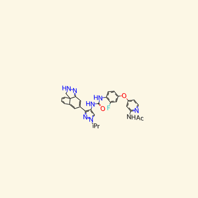 CC(=O)Nc1cc(Oc2ccc(NC(=O)Nc3cn(C(C)C)nc3C3=CC4=NNCC45C=CC=CC5=C3)c(F)c2)ccn1